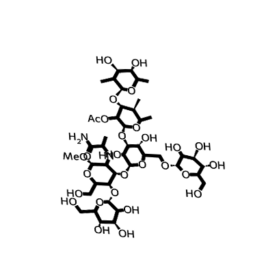 CO[C@@H]1OC(CO)[C@H](O[C@H]2OC(CO)[C@@H](O)[C@H](O)C2O)[C@H](O[C@@H]2OC(CO[C@H]3OC(CO)[C@@H](O)[C@H](O)C3O)[C@@H](O)[C@H](O[C@@H]3OC(C)[C@H](C)[C@H](O[C@@H]4OC(C)[C@H](O)[C@H](O)C4C)C3OC(C)=O)C2O)C1NC(C)C(N)=O